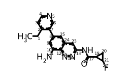 CCc1ccncc1-c1cc(N)c2nnc(NC(=O)C3CC3F)cc2c1